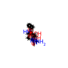 COc1nc(N)nc2c1ncn2[C@@H]1O[C@H](COP(=O)(NC(C)C(=O)OCC(C)(C)C)Oc2cccc3ccccc23)[C@@H](O)[C@@]1(C)O